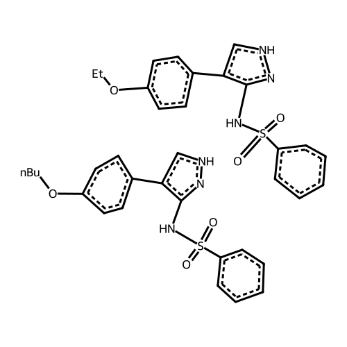 CCCCOc1ccc(-c2c[nH]nc2NS(=O)(=O)c2ccccc2)cc1.CCOc1ccc(-c2c[nH]nc2NS(=O)(=O)c2ccccc2)cc1